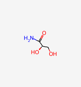 NC(=O)[C@H](O)CO